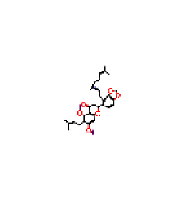 CC(C)=CCC/C(C)=C/Cc1c(C2CC(=O)c3c(cc(OI)c(CC=C(C)C)c3OI)O2)ccc2c1OCO2